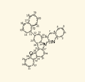 c1ccc2nc3c(cc2c1)c1cc(-c2cccc4ccccc24)cc2c4c5oc6ccccc6c5ccc4n3c12